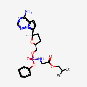 CCC(CC)COC(=O)CNP(=O)(OC[C@@H]1CC[C@](C)(c2ccc3c(N)ncnn23)O1)Oc1ccccc1